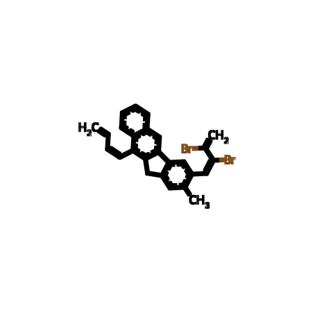 C=C/C=C\c1c2c(cc3ccccc13)-c1cc(/C=C(/Br)C(=C)Br)c(C)cc1C2